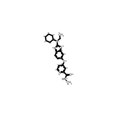 CCN(c1nc2ccc(Oc3ccnc(C(=O)NC)c3)cc2s1)C1CCCCC1